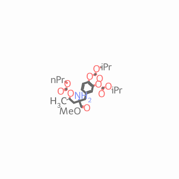 CCCOC(=O)O[C@@H](C)CC(N)(Cc1ccc(OC(=O)OC(C)C)c(OC(=O)OC(C)C)c1)C(=O)OC